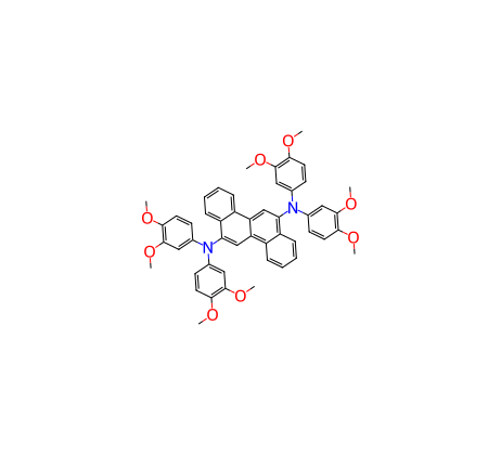 COc1ccc(N(c2ccc(OC)c(OC)c2)c2cc3c4ccccc4c(N(c4ccc(OC)c(OC)c4)c4ccc(OC)c(OC)c4)cc3c3ccccc23)cc1OC